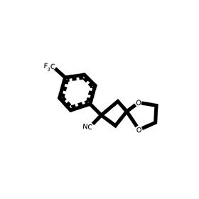 N#CC1(c2ccc(C(F)(F)F)cc2)CC2(C1)OCCO2